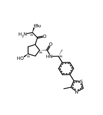 Cc1ncsc1-c1ccc([C@@H](C)NC(=O)[C@@H]2C[C@@H](O)CC2C(=O)[C@@H](N)C(C)(C)C)cc1